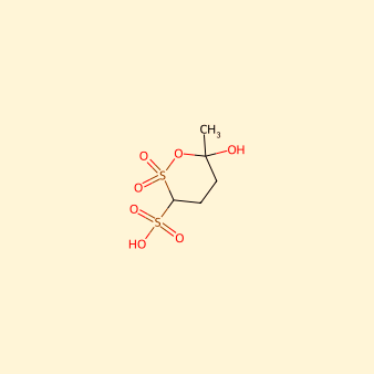 CC1(O)CCC(S(=O)(=O)O)S(=O)(=O)O1